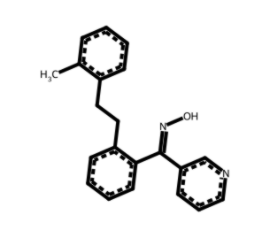 Cc1ccccc1CCc1ccccc1C(=NO)c1cccnc1